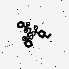 C=Cc1ccc(C(=O)OC(CS(=O)(=O)c2ccccc2)CS(=O)(=O)c2ccccc2)cc1